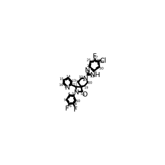 O=C1N(c2ccc(F)c(F)c2)C(c2ccccn2)C12CCN(c1nc3cc(F)c(Cl)cc3[nH]1)CC2